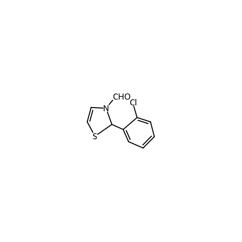 O=CN1C=CSC1c1ccccc1Cl